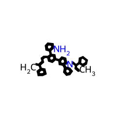 C=C/C(=C\C=C/c1ccc(-c2ccc3c(c2)c2ccccc2n3CC(/C=C\C)C2=CCCC=C2)cc1-c1ccccc1N)c1ccccc1